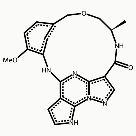 COc1ccc2cc1Nc1nc3c(cnn3c3[nH]ccc13)C(=O)N[C@H](C)COC2